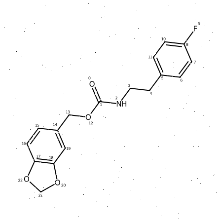 O=C(NCCc1ccc(F)cc1)OCc1ccc2c(c1)OCO2